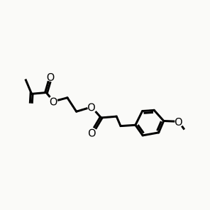 C=C(C)C(=O)OCCOC(=O)CCc1ccc(OC)cc1